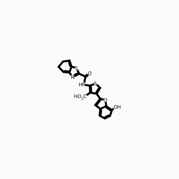 O=C(Nc1scc(-c2cc3cccc(O)c3o2)c1C(=O)O)c1nc2c(s1)=CCCC=2